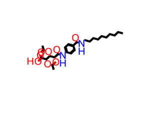 CCCCCCCCCCNC(=O)c1ccc(NC(=O)C(OC(C)=O)C(CC(=O)O)OC(C)=O)cc1